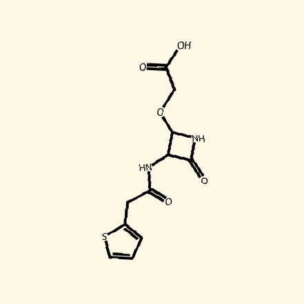 O=C(O)COC1NC(=O)C1NC(=O)Cc1cccs1